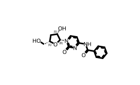 O=C(Nc1ccn([C@@H]2O[C@H](CO)C[C@@H]2O)c(=O)n1)c1ccccc1